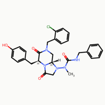 CN(C(=O)NCc1ccccc1)N1CC(=O)N2[C@@H](Cc3ccc(O)cc3)C(=O)N(Cc3ccccc3Cl)C[C@@H]21